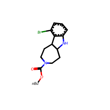 CCCCOC(=O)N1CCC2Nc3cccc(Br)c3C2CC1